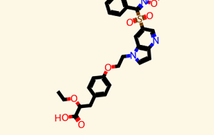 CCOC(Cc1ccc(OCCn2ccc3ncc(S(=O)(=O)C(=NOC)c4ccccc4)cc32)cc1)C(=O)O